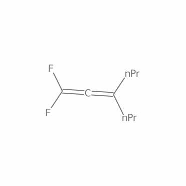 CCCC(=C=C(F)F)CCC